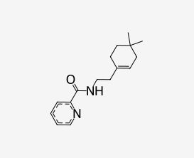 CC1(C)CC=C(CCNC(=O)c2ccccn2)CC1